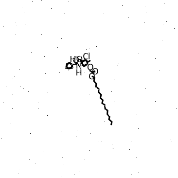 CCCCCCCCCCCCCCCCCCOC(=O)COc1cc(NC(=O)c2ccccc2)c(O)c(Cl)c1C